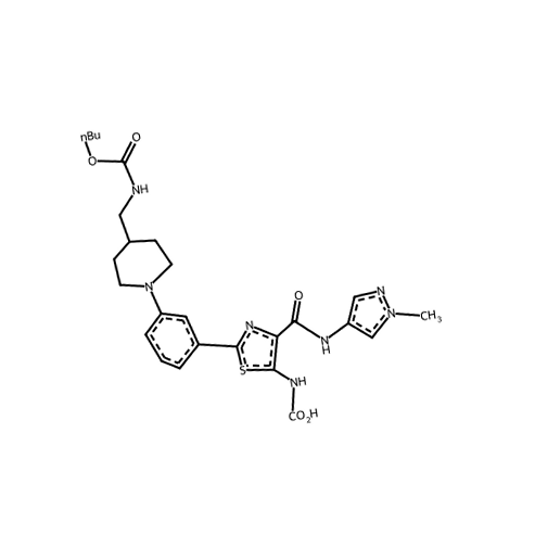 CCCCOC(=O)NCC1CCN(c2cccc(-c3nc(C(=O)Nc4cnn(C)c4)c(NC(=O)O)s3)c2)CC1